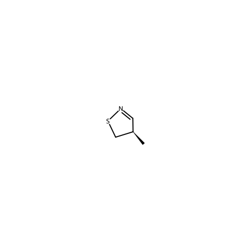 C[C@@H]1C=NSC1